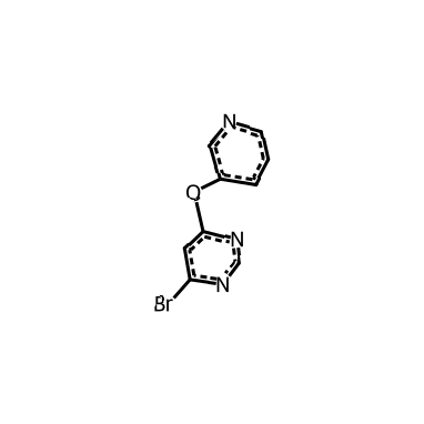 Brc1cc(Oc2cccnc2)ncn1